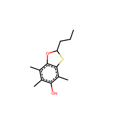 CCCC1Oc2c(C)c(C)c(O)c(C)c2S1